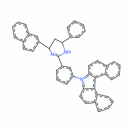 c1ccc(C2CC(c3ccc4ccccc4c3)N=C(c3cccc(-n4c5ccc6ccccc6c5c5c6ccccc6ccc54)c3)N2)cc1